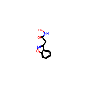 O=C(Cc1noc2ccccc12)NO